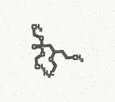 CCCC(CP(=O)(OCC)OCC)OCC